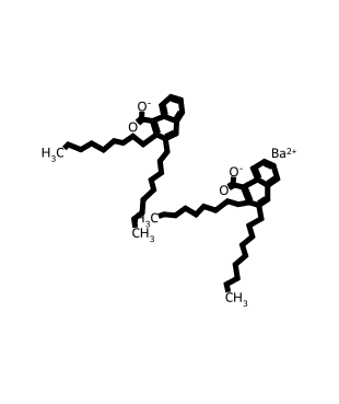 CCCCCCCCCc1cc2ccccc2c(C(=O)[O-])c1CCCCCCCCC.CCCCCCCCCc1cc2ccccc2c(C(=O)[O-])c1CCCCCCCCC.[Ba+2]